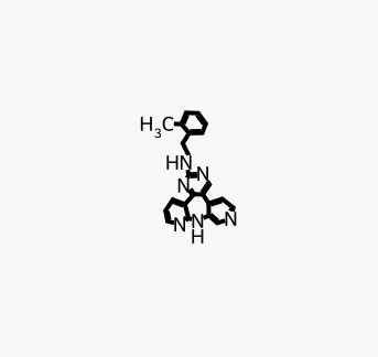 Cc1ccccc1CCNc1ncc2c(n1)-c1cccnc1Nc1cnccc1-2